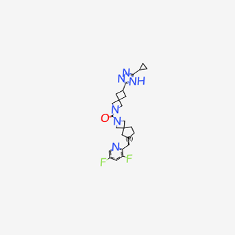 O=C(N1CC2(CC(c3nnc(C4CC4)[nH]3)C2)C1)N1CC2(CC[C@@H](Cc3ncc(F)cc3F)C2)C1